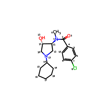 CN(C(=O)c1ccc(Cl)cc1)[C@H]1CN(C2CCCCC2)C[C@@H]1O